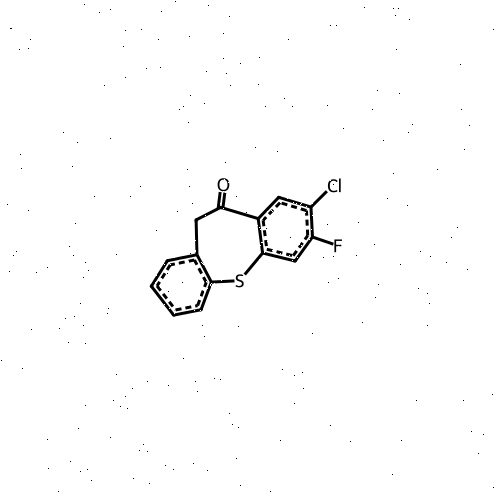 O=C1Cc2ccccc2Sc2cc(F)c(Cl)cc21